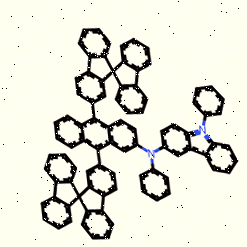 c1ccc(N(c2ccc3c(-c4ccc5c(c4)C4(c6ccccc6-c6ccccc64)c4ccccc4-5)c4ccccc4c(-c4ccc5c(c4)C4(c6ccccc6-c6ccccc64)c4ccccc4-5)c3c2)c2ccc3c(c2)c2ccccc2n3-c2ccccc2)cc1